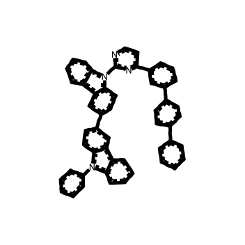 c1ccc(-c2ccc(-c3cccc(-c4ccnc(-n5c6ccccc6c6cc(-c7ccc8c(c7)c7ccccc7n8-c7ccccc7)ccc65)n4)c3)cc2)cc1